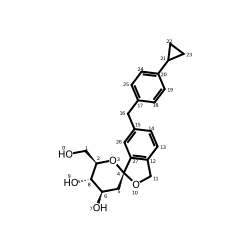 OC[C@H]1O[C@@]2(C[C@@H](O)[C@@H]1O)OCc1ccc(Cc3ccc(C4CC4)cc3)cc12